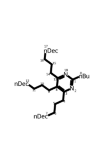 [CH2]CCCc1nc(CCCCCCCCCCCCC)c(CCCCCCCCCCCCC)c(CCCCCCCCCCCCC)n1